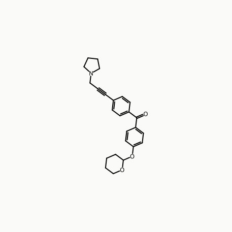 O=C(c1ccc(C#CCN2CCCC2)cc1)c1ccc(OC2CCCCO2)cc1